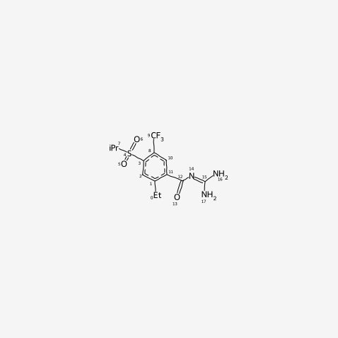 CCc1cc(S(=O)(=O)C(C)C)c(C(F)(F)F)cc1C(=O)N=C(N)N